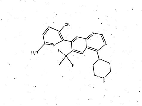 CC(F)(F)c1cc2c(N3CCNCC3)ncnc2cc1-c1nc(N)ccc1C(F)(F)F